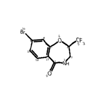 O=C1NCC(C(F)(F)F)Oc2cc(Br)ccc21